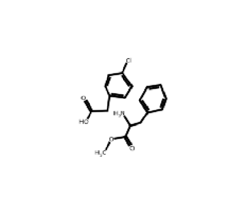 COC(=O)C(N)Cc1ccccc1.O=C(O)Cc1ccc(Cl)cc1